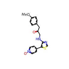 COc1ccc(CC(=O)CNc2ncsc2-c2cc[n+]([O-])cc2)cc1